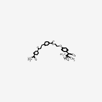 CC(=O)c1ccc(C(=O)C=Cc2ccc(C(=O)OCCOc3ccc(C(=O)C(C)(C)O)cc3)cc2)cc1